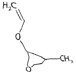 C=COC1OC1C